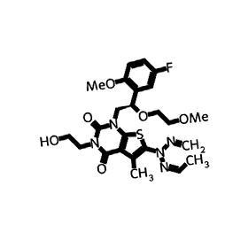 C=NN(/N=C\C)c1sc2c(c1C)c(=O)n(CCO)c(=O)n2C[C@H](OCCOC)c1cc(F)ccc1OC